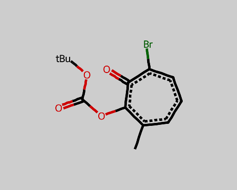 Cc1cccc(Br)c(=O)c1OC(=O)OC(C)(C)C